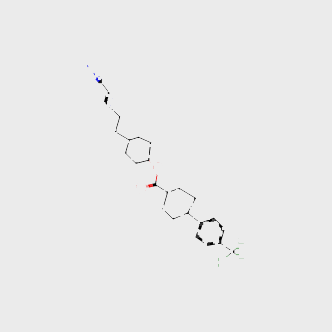 N#C/C=C/CCC1CCC(OC(=O)C2CCC(c3ccc(C(F)(F)F)cc3)CC2)CC1